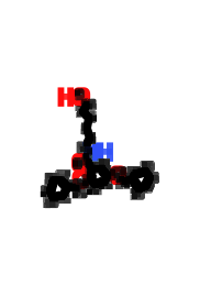 O=C(NCCCCCCO)c1cc(OCc2ccccc2)ccc1OCc1ccccc1